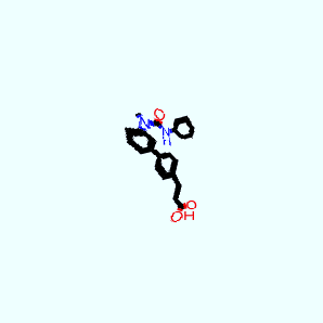 CN(C(=O)NC1CCCCC1)c1cccc(-c2ccc(CCC(=O)O)cc2)c1